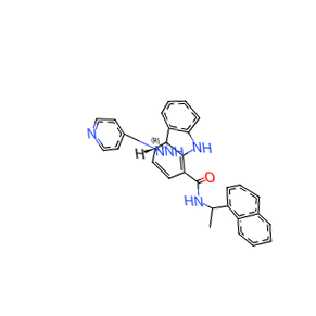 CC(NC(=O)C1=C2Nc3ccccc3C23NCN(c2ccncc2)[C@@H]3C=C1)c1cccc2ccccc12